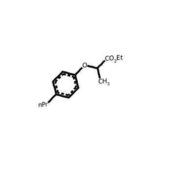 CCCc1ccc(OC(C)C(=O)OCC)cc1